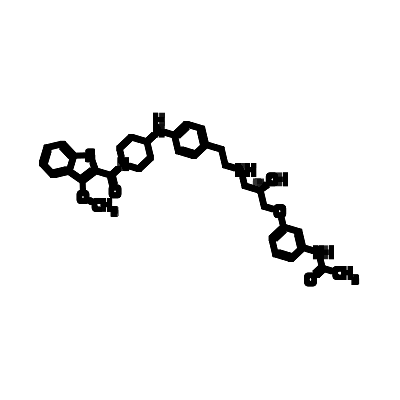 COc1c(C(=O)N2CCC(Nc3ccc(CCNC[C@@H](O)COc4cccc(NC(C)=O)c4)cc3)CC2)sc2ccccc12